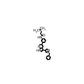 CN(C)CCC(=O)Nc1cccc(-c2cnc3[nH]cc(-c4cnn(Cc5ccccc5)c4)c3c2)c1